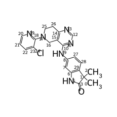 CC1(C)C(=O)Nc2cc(Nc3ncnc4c3CN(c3ncccc3Cl)CC4)ccc21